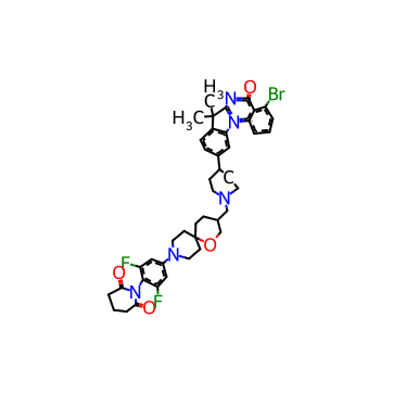 CC1(C)c2ccc(C3CCN(CC4CCC5(CCN(c6cc(F)c(N7C(=O)CCCC7=O)c(F)c6)CC5)OC4)CC3)cc2-n2c1nc(=O)c1c(Br)cccc12